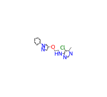 Cc1ncnc(NCCOc2cnn(-c3ccccc3)c2)c1Cl